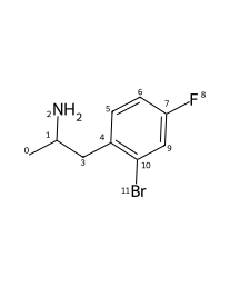 CC(N)Cc1ccc(F)cc1Br